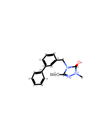 COc1nn(C)c(=O)n1Cc1cccc(-c2ccccc2)c1